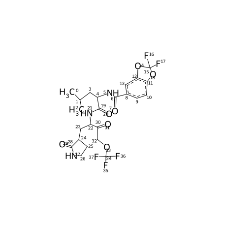 CC(C)CC(NC(=O)c1ccc2c(c1)OC(F)(F)O2)C(=O)NC(CC1CCNC1=O)C(=O)COC(F)(F)F